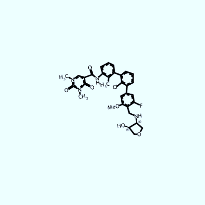 COc1cc(-c2cccc(-c3cccc(NC(=O)c4cn(C)c(=O)n(C)c4=O)c3C)c2Cl)cc(F)c1CN[C@H]1COC[C@H]1O